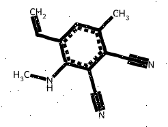 C=Cc1cc(C)c(C#N)c(C#N)c1NC